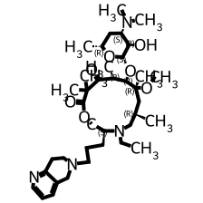 CCN1C[C@H](C)C[C@@](C)(OC)[C@H](O[C@@H]2O[C@H](C)C[C@H](N(C)C)[C@H]2O)[C@@H](C)C(=O)C(C)(C)C(=O)OC[C@@H]1CCCN1CCc2ncccc2C1